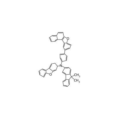 CC1(C)c2ccccc2-c2cc(N(c3ccc(-c4ccc5oc6ccc7ccccc7c6c5c4)cc3)C3C=c4oc5ccccc5c4=CC3)ccc21